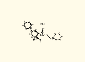 Cl.O=C(NCCN1CCOCC1)c1cc(-c2ccccc2)n[nH]c1=O